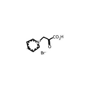 O=C(O)C(=O)C[n+]1cc[c]cc1.[Br-]